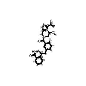 COC1CN(C(=O)c2cc(Cc3n[nH]c(=O)c4ccccc34)ccc2F)Cc2nnc(C(F)F)n21